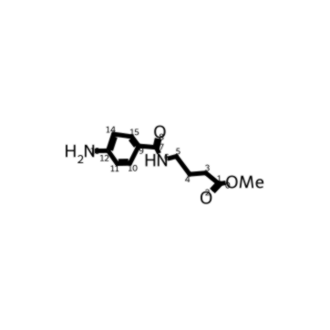 COC(=O)CCCNC(=O)c1ccc(N)cc1